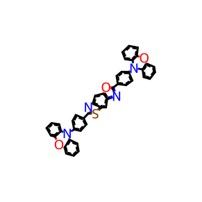 c1ccc2c(c1)Oc1ccccc1N2c1ccc(-c2nc3cc4sc(-c5ccc(N6c7ccccc7Oc7ccccc76)cc5)nc4cc3o2)cc1